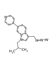 CC(C)Cn1cc(CN=[N+]=[N-])c2ccc(-c3ccncc3)cc21